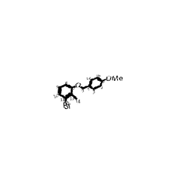 COc1ccc(COc2cccc(Br)c2C)cc1